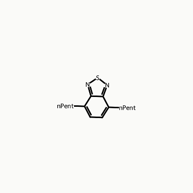 CCCCCc1ccc(CCCCC)c2nsnc12